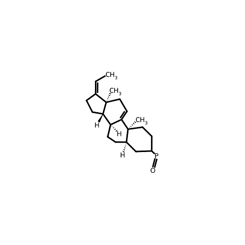 C/C=C1/CC[C@H]2[C@@H]3CC[C@@H]4CC(P=O)CC[C@]4(C)C3=CC[C@]12C